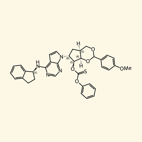 COc1ccc(C2OC[C@@H]3C[C@@H](n4ccc5c(N[C@H]6CCc7ccccc76)ncnc54)[C@H](OC(=S)Oc4ccccc4)[C@@H]3O2)cc1